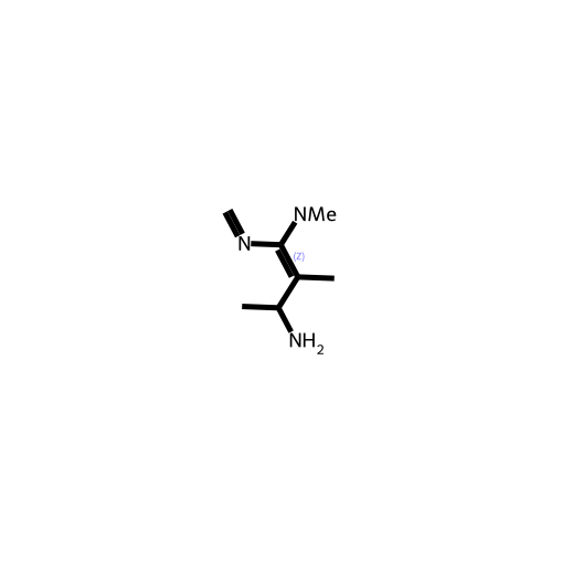 C=N/C(NC)=C(/C)C(C)N